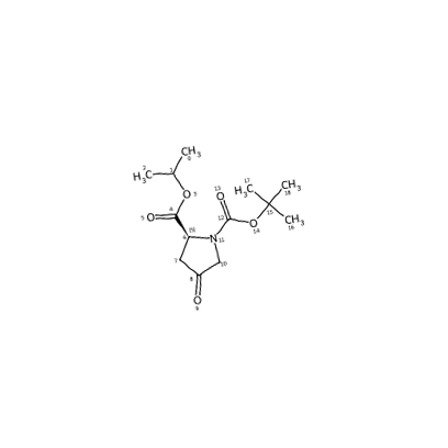 CC(C)OC(=O)[C@@H]1CC(=O)CN1C(=O)OC(C)(C)C